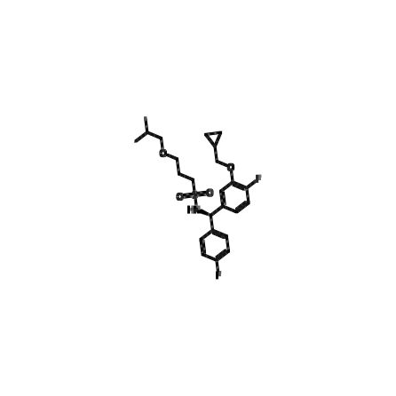 CC(C)COCCCS(=O)(=O)N[C@H](c1ccc(F)cc1)c1ccc(F)c(OCC2CC2)c1